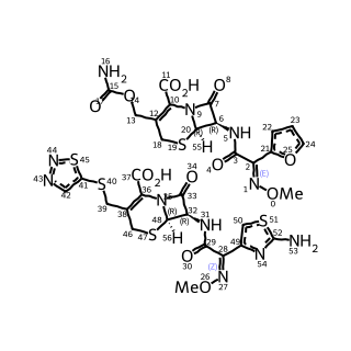 CO/N=C(/C(=O)N[C@@H]1C(=O)N2C(C(=O)O)=C(COC(N)=O)CS[C@H]12)c1ccco1.CO/N=C(\C(=O)N[C@@H]1C(=O)N2C(C(=O)O)=C(CSc3cnns3)CS[C@H]12)c1csc(N)n1